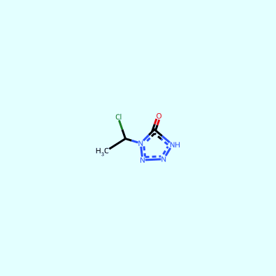 CC(Cl)n1nn[nH]c1=O